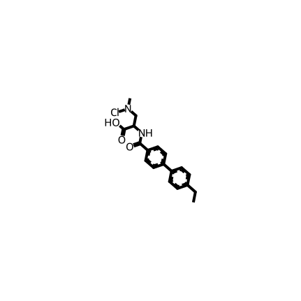 CCc1ccc(-c2ccc(C(=O)NC(CN(C)Cl)C(=O)O)cc2)cc1